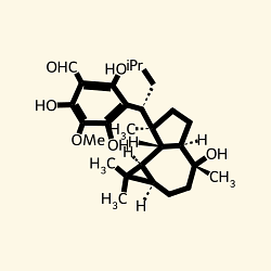 COc1c(O)c(C=O)c(O)c([C@H](CC(C)C)[C@@]2(C)CC[C@@H]3[C@@H]2[C@H]2[C@@H](CC[C@@]3(C)O)C2(C)C)c1O